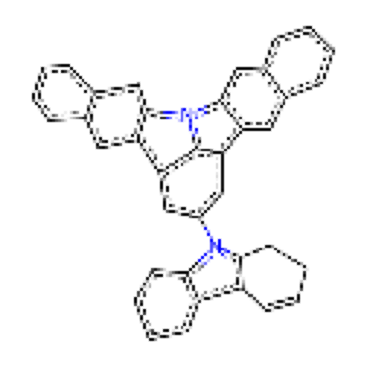 C1=Cc2c(n(-c3cc4c5cc6ccccc6cc5n5c6cc7ccccc7cc6c(c3)c45)c3ccccc23)CC1